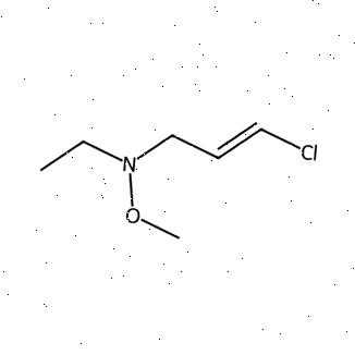 CCN(CC=CCl)OC